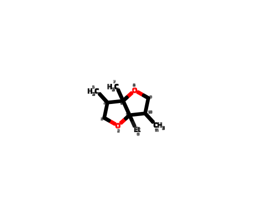 CCC12OCC(C)C1(C)OCC2C